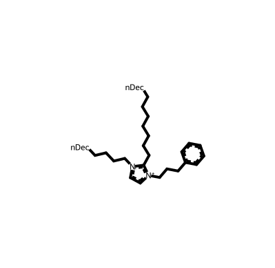 CCCCCCCCCCCCCCCCCc1n(CCCCCCCCCCCCCC)cc[n+]1CCCc1ccccc1